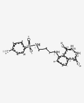 Cc1ccc(S(=O)(=O)NCCCNc2cccc3c(=O)[nH][nH]c(=O)c23)cc1